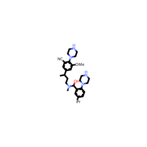 COc1cc(C(C)CCN(C)C(O)c2cc(C(C)C)ccc2N2CCNCC2)cc(C#N)c1N1CCNCC1